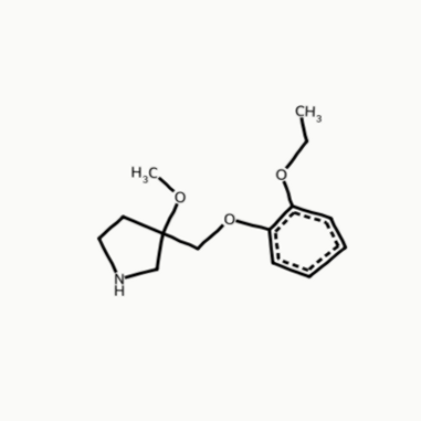 CCOc1ccccc1OCC1(OC)CCNC1